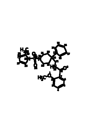 COc1ccccc1C(=O)NCC1(c2ccccc2)CCN(S(=O)(=O)n2ccnc2C)CC1